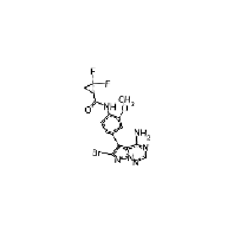 COc1cc(-c2c(Br)nn3ncnc(N)c23)ccc1NC(=O)C1CC1(F)F